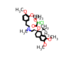 COCC(=O)O[C@@]1(CCN(C)CCc2ccc(OC)c(OC)c2)CCc2cc(OC)c(OC)cc2[C@H]1C(C)C.Cl